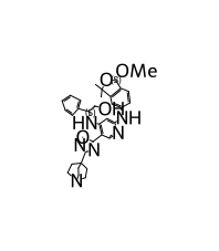 CO[C@H]1OC(C)(C)c2cc(Nc3cc(N[C@H](CO)c4ccccc4)c(-c4nc(C56CCN(CC5)CC6)no4)cn3)ccc21